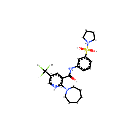 O=C(Nc1cccc(S(=O)(=O)N2CCCC2)c1)c1cc(C(F)(F)F)cnc1N1CCCCCC1